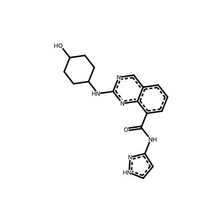 O=C(Nc1cc[nH]n1)c1cccc2cnc(NC3CCC(O)CC3)nc12